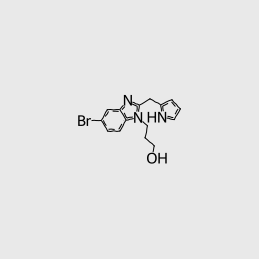 OCCCn1c(Cc2ccc[nH]2)nc2cc(Br)ccc21